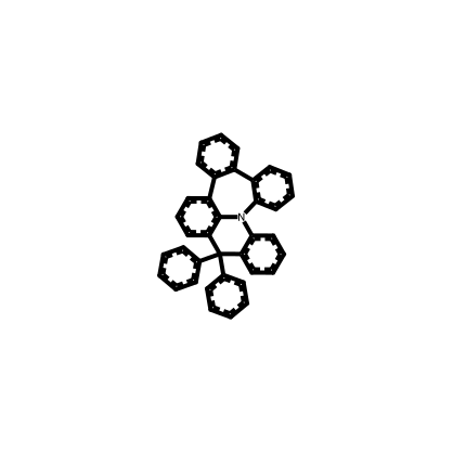 c1ccc(C2(c3ccccc3)c3ccccc3N3c4ccccc4-c4ccccc4-c4cccc2c43)cc1